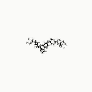 CC(C)n1cc(Nc2nc3cc(OC4CCN(C(=O)OC(C)(C)C)CC4)ccc3n3ccnc23)cn1